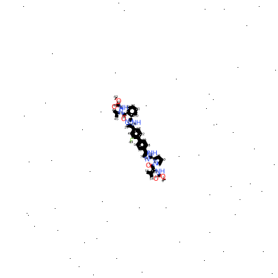 COC(=O)N[C@H](C(=O)N1CCC[C@H]1c1ncc(-c2ccc(-c3ccc(-c4cnc([C@H]5CCCC[C@@H]5C(=O)N(NC(=O)OC)C(C)C)[nH]4)cc3F)cc2)[nH]1)C(C)C